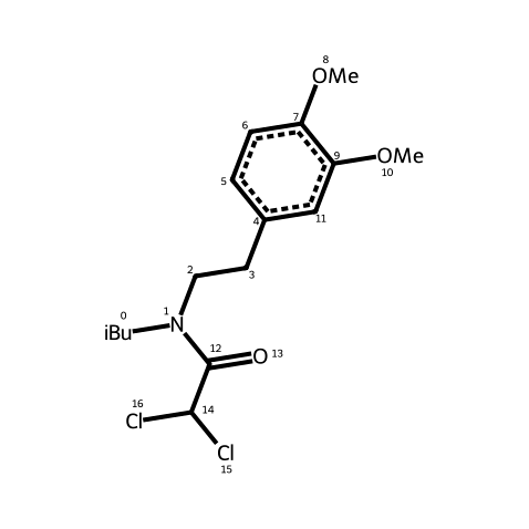 CCC(C)N(CCc1ccc(OC)c(OC)c1)C(=O)C(Cl)Cl